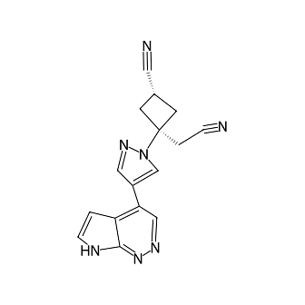 N#CC[C@]1(n2cc(-c3cnnc4[nH]ccc34)cn2)C[C@H](C#N)C1